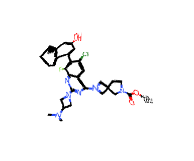 CN(C)C1CN(c2nc(N3CC4(CCN(C(=O)OC(C)(C)C)C4)C3)c3cc(Cl)c(-c4cc(O)cc5ccccc45)c(F)c3n2)C1